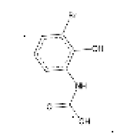 O=C(O)Nc1cccc(Br)c1O